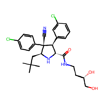 CC(C)(C)C[C@@H]1N[C@@H](C(=O)NCC[C@H](O)CO)[C@H](c2cccc(Cl)c2)[C@@]1(C#N)c1ccc(Cl)cc1